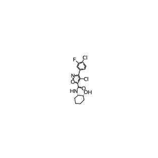 O=C(N[C@H]1CCCC[C@H]1O)c1onc(-c2ccc(Cl)c(F)c2)c1Cl